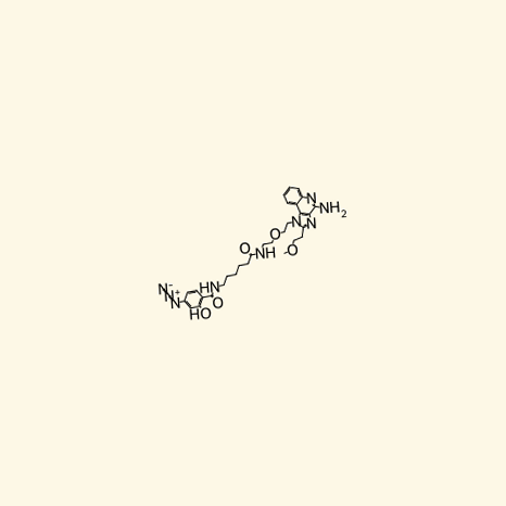 COCCc1nc2c(N)nc3ccccc3c2n1CCOCCNC(=O)CCCCCNC(=O)c1ccc(N=[N+]=[N-])cc1O